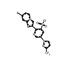 CCS(=O)(=O)c1cc(-n2ccc(C(F)(F)F)n2)cnc1-c1cn2ccc(I)cc2n1